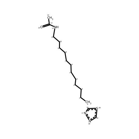 CCCCCCCCCCCCNC(C)=O.c1nncs1